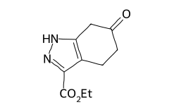 CCOC(=O)c1n[nH]c2c1CCC(=O)C2